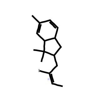 C/C=C(/I)CC1CC2C=CC(C)=CC2C1(C)C